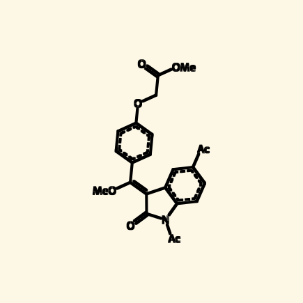 COC(=O)COc1ccc(/C(OC)=C2/C(=O)N(C(C)=O)c3ccc(C(C)=O)cc32)cc1